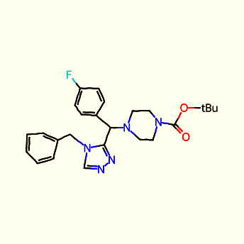 CC(C)(C)OC(=O)N1CCN(C(c2ccc(F)cc2)c2nncn2Cc2ccccc2)CC1